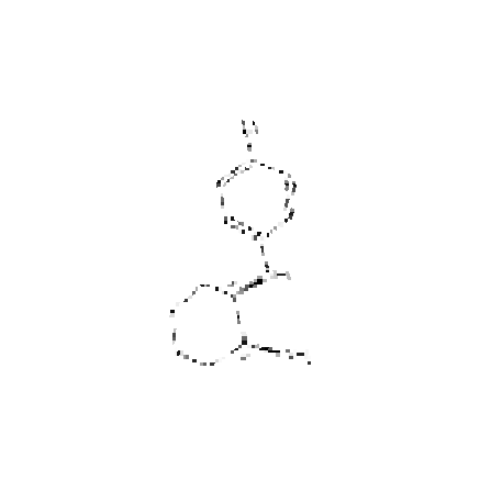 N#Cc1ccc(N[C@@H]2CCCC[C@@H]2N)cc1